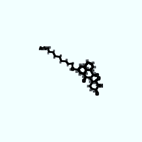 CC(=O)NCCCCCCCCOc1cc2c3c(cccc3c1)C(=O)N(C1CCC(=O)NC1=O)C2=O